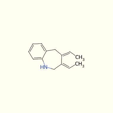 C/C=C1/Cc2ccccc2NC/C1=C/C